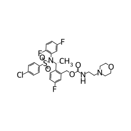 C[C@H](c1ccc(F)cc1COC(=O)NCCN1CCOCC1)N(c1cc(F)ccc1F)S(=O)(=O)c1ccc(Cl)cc1